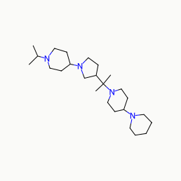 CC(C)N1CCC(N2CCC(C(C)(C)N3CCC(N4CCCCC4)CC3)C2)CC1